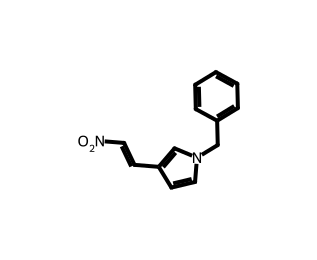 O=[N+]([O-])C=Cc1ccn(Cc2ccccc2)c1